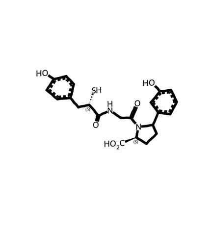 O=C(NCC(=O)N1C(c2cccc(O)c2)CC[C@H]1C(=O)O)[C@@H](S)Cc1ccc(O)cc1